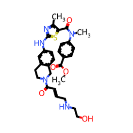 COC(=O)c1ccc(N(C)C(=O)c2sc(Nc3ccc4c(c3)CCN(C(=O)/C=C/CNCCO)C4)nc2C)cc1